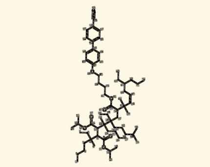 CCCCC(C)(CC)C(C(=O)OC(C)C)C(C(=O)OC(C)C)C(C)(CCCC)C(CC)(CCCC(C)C)CC(C(=O)OCCCCOc1ccc(-c2ccc(C#N)cc2)cc1)C(C)(C)/C=C\CC(CC)CCC